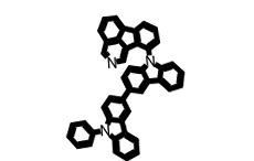 c1ccc(-n2c3ccccc3c3cc(-c4ccc5c(c4)c4ccccc4n5-c4cccc5c4-c4cncc6cccc-5c46)ccc32)cc1